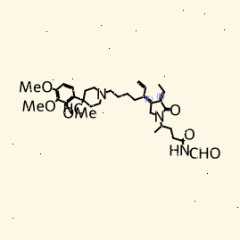 C=C/C(CCCCN1CCC(C#N)(c2ccc(OC)c(OC)c2OC)CC1)=C1/CN(C(C)CCC(=O)NC=O)C(=O)/C1=C/C